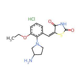 CCOc1cccc(C=C2SC(=O)NC2=O)c1N1CCC(N)C1.Cl